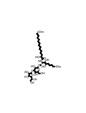 CCCCCCCCCCCCCCCCCCCCCC[C@@H](O)C(=O)N[C@@H](COC1OC(CO)C(O)C(OC2OC([C@H](O)CO)C(O)C2O)C1O)[C@H](O)[C@H](O)CCCCCCCCCCCCCC